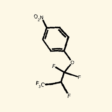 O=[N+]([O-])c1ccc(OC(F)(F)C(F)C(F)(F)F)cc1